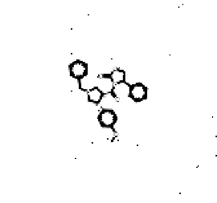 COc1ccc([C@@H]2CN(Cc3ccccc3)C[C@H]2C(=O)N2C(=O)OCC2c2ccccc2)cc1